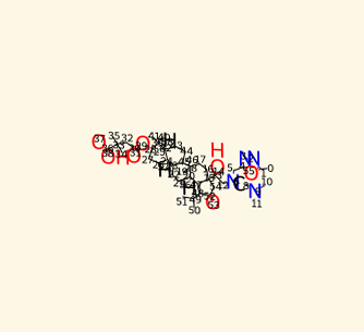 Cc1nnc(CN(CCN(C)C)CC(O)C23CC[C@]4(C)[C@H](CC[C@@H]5[C@@]6(C)CC[C@H](OC(=O)CC(C)(C)C(=O)O)C(C)(C)[C@@H]6CC[C@]54C)C2=C(C(C)C)C(=O)C3)o1